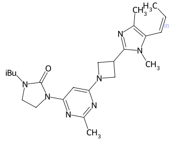 C/C=C\c1c(C)nc(C2CN(c3cc(N4CCN(C(C)CC)C4=O)nc(C)n3)C2)n1C